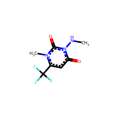 CNn1c(=O)cc(C(F)(F)F)n(C)c1=O